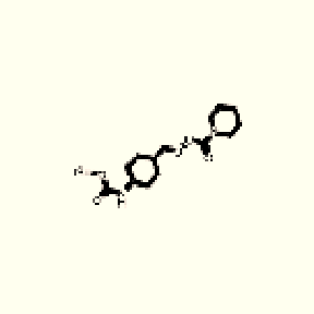 CC(C)(C)OC(=O)NC1CCC(COOC(=O)N2CCCCC2)CC1